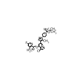 COC(COc1cc(-c2nnn(C3CCN(C(=O)OC(C)(C)C)CC3)c2C)cn2ncc(Cl)c12)c1ncc(F)cc1F